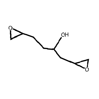 OC(CCC1CO1)CC1CO1